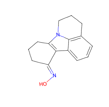 ON=C1CCCc2c1c1cccc3c1n2CCC3